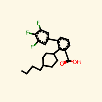 CCCCC1CCC(c2c(C(=O)O)cccc2-c2cc(F)c(F)c(F)c2)CC1